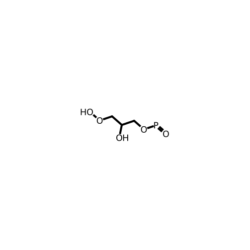 O=POCC(O)COO